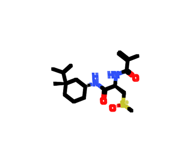 C=C(C)C(=O)N[C@@H](C[S+](C)[O-])C(=O)N[C@@H]1CCC[C@](C)(C(C)C)C1